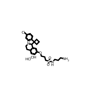 Cl.Cl.NCCCNS(=O)(=O)CCCOc1ccc2c(c1)C(C1(c3ccc(Cl)cc3)CCC1)NCC2